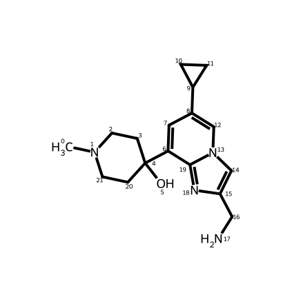 CN1CCC(O)(c2cc(C3CC3)cn3cc(CN)nc23)CC1